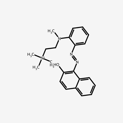 CN(CC[N+](C)(C)C)c1ccccc1/N=N/c1c(O)ccc2ccccc12